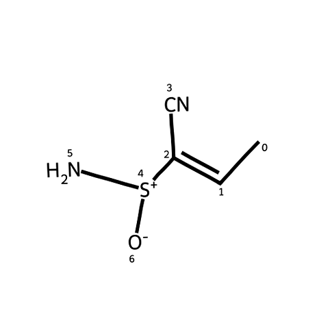 C/C=C(\C#N)[S+](N)[O-]